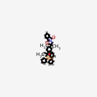 CCC(C)(CN1C(=O)c2ccccc2C1=O)c1ccc(C(C)(CC)C[PH](c2ccccc2)(c2ccccc2)c2ccccc2)cc1